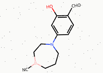 N#CB1CCCN(c2ccc(C=O)c(O)c2)CC1